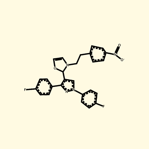 O=[N+]([O-])c1ccc(CCN2C=COC2c2cn(-c3ccc(F)cc3)nc2-c2ccc(F)cc2)cc1